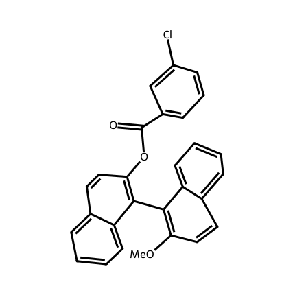 COc1ccc2ccccc2c1-c1c(OC(=O)c2cccc(Cl)c2)ccc2ccccc12